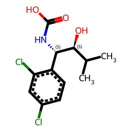 CC(C)[C@H](O)[C@@H](NC(=O)O)c1ccc(Cl)cc1Cl